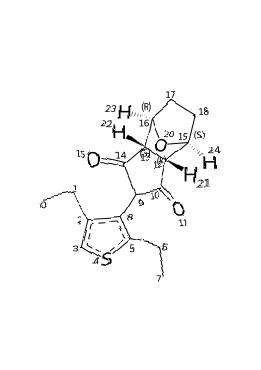 CCc1csc(CC)c1C1C(=O)[C@@H]2[C@H](C1=O)[C@H]1CC[C@@H]2O1